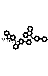 CC1(C)c2ccccc2-c2ccc(-n3c4ccccc4c4cc(-c5cccc(N(c6ccc(-c7ccccc7)cc6)c6cc7ccccc7c7ccccc67)c5)ccc43)cc21